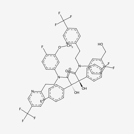 COc1cc(N(CCc2ccc(C(F)(F)F)cn2)C(=O)[C@](O)(c2ccc(F)cc2)[C@](O)(C(=O)N(CCc2ccc(C(F)(F)F)cn2)c2ccc(F)c(CO)c2)c2ccc(F)cc2)ccc1F